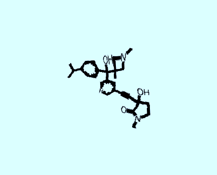 CC(C)c1ccc(C(O)(c2cncc(C#CC3(O)CCN(C)C3=O)c2)C2(C)CN(C)C2)cc1